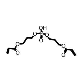 C=CC(=O)OCCCOP(=O)(O)OCCCOC(=O)C=C